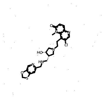 Cn1c(=O)ccc2ncc(Cl)c(CCN3C[C@H](CNCc4cc5c(cn4)OCS5)[C@H](O)C3)c21